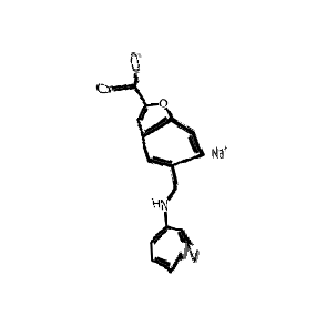 O=C([O-])c1cc2cc(CNc3cccnc3)ccc2o1.[Na+]